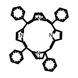 C1=CC2=NC1=CC1(c3ccccc3)CC=C(N1)C(c1ccccc1)=C1C=CC(=N1)C(c1ccccc1)=c1ccc([nH]1)=C2c1ccccc1